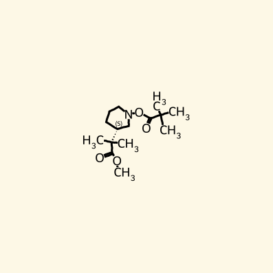 COC(=O)C(C)(C)[C@@H]1CCCN(OC(=O)C(C)(C)C)C1